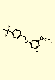 COc1cc(F)cc(OCc2ccc(C(F)(F)F)cc2)c1